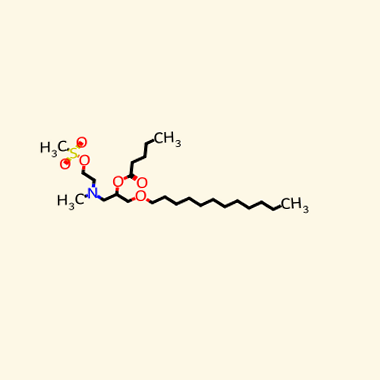 CCCCCCCCCCCCOCC(CN(C)CCOS(C)(=O)=O)OC(=O)CCCC